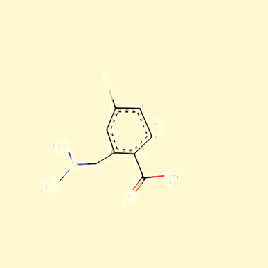 CN(C)Cc1cc(F)ccc1C(=O)O.Cl